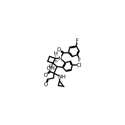 O=CCC(NC1CC1)(C(=O)O)C1c2ccc(Cl)cc2N(C(=O)c2cc(F)cc(F)c2)[C@@H]2CC[C@H]12